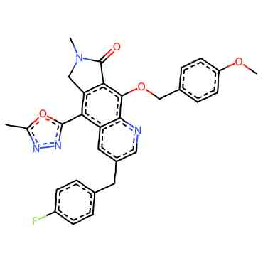 COc1ccc(COc2c3c(c(-c4nnc(C)o4)c4cc(Cc5ccc(F)cc5)cnc24)CN(C)C3=O)cc1